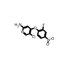 Nc1cc(Oc2ccc([N+](=O)[O-])cc2F)c(Cl)cn1